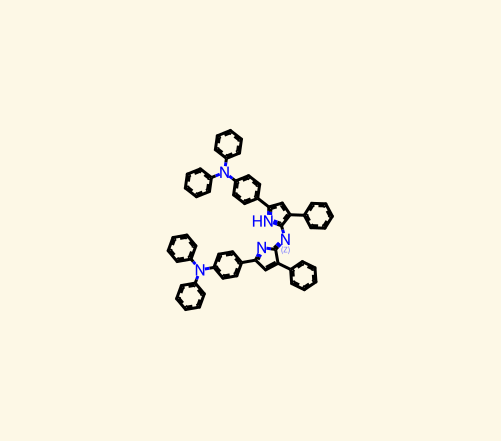 C1=C(c2ccccc2)/C(=N/c2[nH]c(-c3ccc(N(c4ccccc4)c4ccccc4)cc3)cc2-c2ccccc2)N=C1c1ccc(N(c2ccccc2)c2ccccc2)cc1